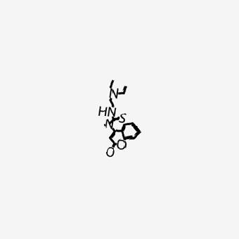 CCN(CC)CCNC(=S)N(C)c1cc(=O)oc2ccccc12